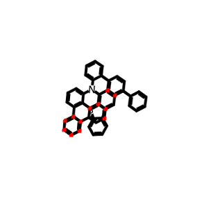 c1ccc(-c2ccc(-c3ccccc3N(c3cccc(-c4ccccc4)c3-c3ccccc3-c3ccccc3)c3cccc4c3sc3ccccc34)cc2)cc1